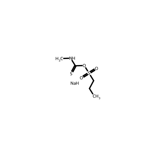 CCCS(=O)(=O)OC(=S)NC.[NaH]